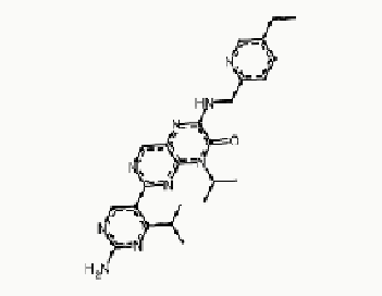 CCc1ccc(CNc2nc3cnc(-c4cnc(N)nc4C(C)C)nc3n(C(C)C)c2=O)nc1